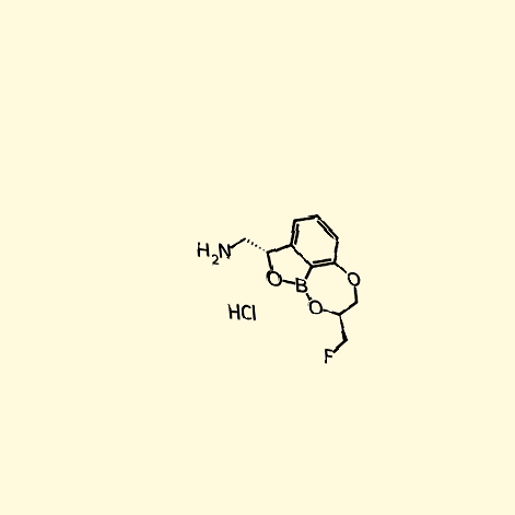 Cl.NC[C@H]1OB2O[C@H](CF)COc3cccc1c32